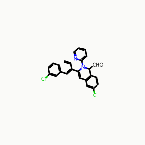 C=CC(=Cc1cccc(Cl)c1)C1=Cc2cc(Cl)ccc2C(C=O)N1c1ccccn1